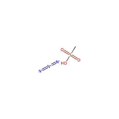 CS(=O)(=O)O.[N-]=[N+]=[N-]